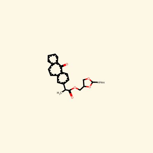 CCCCCCC1OCC(COC(=O)C(C)c2ccc3c(=O)c4ccccc4ccc3c2)O1